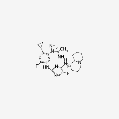 CC(=N)N(N)c1cc(Nc2ncc(F)c(N[C@@H]3CCCN4CCCCC34)n2)c(F)cc1C1CC1